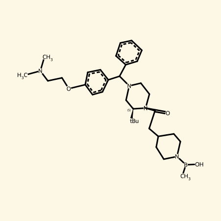 CB(O)N1CCC(CC(=O)N2CCN(C(c3ccccc3)c3ccc(OCCN(C)C)cc3)C[C@@H]2C(C)(C)C)CC1